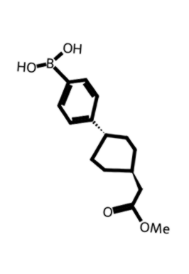 COC(=O)C[C@H]1CC[C@H](c2ccc(B(O)O)cc2)CC1